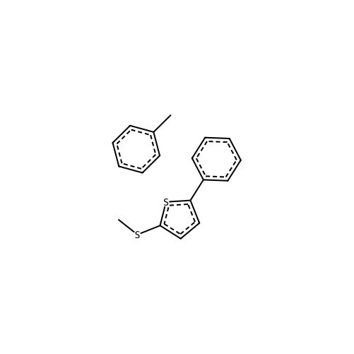 CSc1ccc(-c2ccccc2)s1.Cc1ccccc1